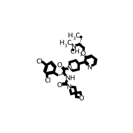 CC[C@H](COc1cccnc1C1CCN(C(=O)[C@@H](Cc2ccc(Cl)cc2Cl)NC(=O)N2CC3(COC3)C2)CC1)N(C)C